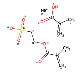 C=C(C)C(=O)O.C=C(C)C(=O)OCCS(=O)(=O)[O-].[Na+]